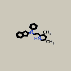 CC1C[C@@H](C)CNC1CCN(c1ccccc1)C1Cc2ccccc2C1